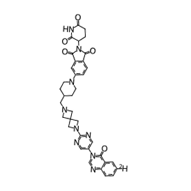 [2H]c1ccc2ncn(-c3cnc(N4CC5(CN(CC6CCN(c7ccc8c(c7)C(=O)N(C7CCC(=O)NC7=O)C8=O)CC6)C5)C4)nc3)c(=O)c2c1